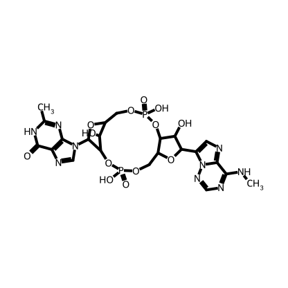 CNc1ncnn2c(C3OC4COP(=O)(O)OC5C(O)C(COP(=O)(O)OC4C3O)OC5n3cnc4c(=O)[nH]c(C)nc43)cnc12